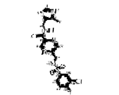 Cc1ncsc1CNC(=O)c1cnc(CNS(=O)(=O)c2ccc(F)c(Cl)c2)cn1